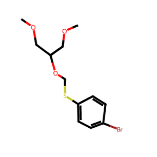 COCC(COC)OCSc1ccc(Br)cc1